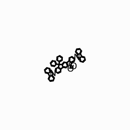 O=S1(=O)c2cc(-n3c4ccccc4c4ccccc43)ccc2-c2cc3c(cc21)-c1ccc(-n2c4ccccc4c4ccccc42)cc1C3(c1ccccc1)c1ccccc1